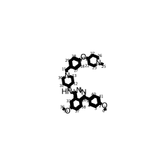 COc1ccc(-c2nnc(NC3CCN(Cc4ccc(OC5CCN(C)CC5)cc4)CC3)c3cc(OC)ccc23)cc1